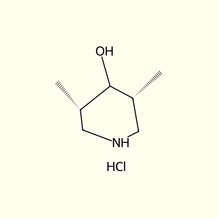 C[C@@H]1CNC[C@H](C)C1O.Cl